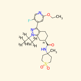 [2H]C([2H])([2H])C([2H])(n1nc(-c2cc(OCC)ncc2F)c2c1C[C@H](C(=O)NC1(C)CCS(=O)(=O)CC1)CC2)C([2H])([2H])[2H]